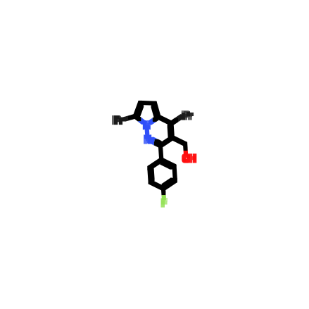 CC(C)c1c(CO)c(-c2ccc(F)cc2)nn2c(C(C)C)ccc12